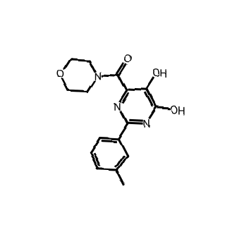 Cc1cccc(-c2nc(O)c(O)c(C(=O)N3CCOCC3)n2)c1